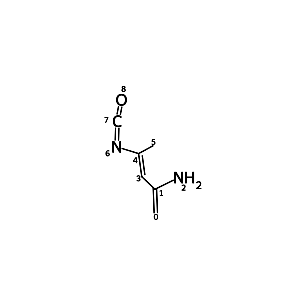 C=C(N)/C=C(\C)N=C=O